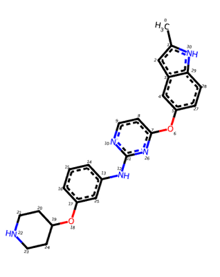 Cc1cc2cc(Oc3ccnc(Nc4cccc(OC5CCNCC5)c4)n3)ccc2[nH]1